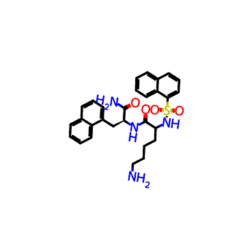 NCCCCC(NS(=O)(=O)c1cccc2ccccc12)C(=O)N[C@@H](Cc1cccc2ccccc12)C(N)=O